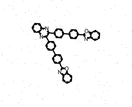 c1ccc2nc(-c3ccc(-c4ccc(-c5nc6ccccc6o5)cc4)cc3)c(-c3ccc(-c4ccc(-c5nc6ccccc6o5)cc4)cc3)nc2c1